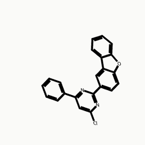 Clc1cc(-c2ccccc2)nc(-c2ccc3oc4ccccc4c3c2)n1